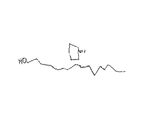 C1CCNCC1.CCCCCCCCCCCCCCCCO